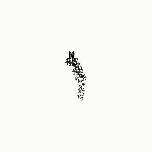 CCCCCCC[C@H]1CC[C@H]([C@H]2CC[C@H](c3ccc(C#N)c(F)c3)CC2)CC1